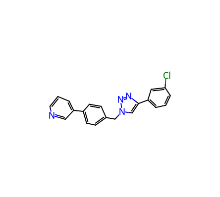 Clc1cccc(-c2cn(Cc3ccc(-c4cccnc4)cc3)nn2)c1